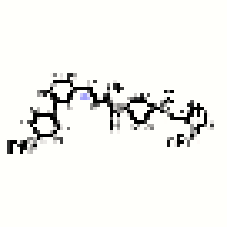 CCCn1cncc1C[S+]([O-])c1ccc(NC(=O)/C=C/c2cccc(-c3ccc(OC(C)C)cc3)c2)cc1